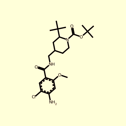 COc1cc(N)c(Cl)cc1C(=O)NCC1CCN(C(=O)OC(C)(C)C)C(C(C)(C)C)C1